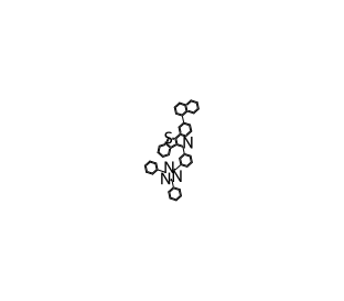 c1ccc(-c2nc(-c3ccccc3)nc(-c3cccc(-c4nc5ccc(-c6cccc7ccccc67)cc5c5sc6ccccc6c45)c3)n2)cc1